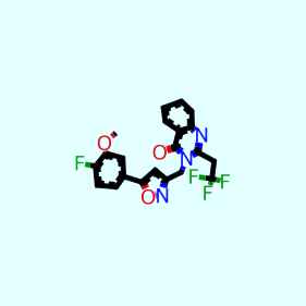 COc1cc(-c2cc(Cn3c(CC(F)(F)F)nc4ccccc4c3=O)no2)ccc1F